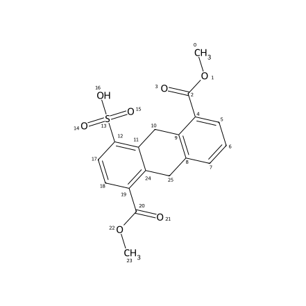 COC(=O)c1cccc2c1Cc1c(S(=O)(=O)O)ccc(C(=O)OC)c1C2